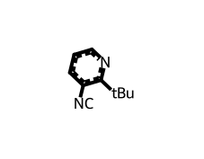 [C-]#[N+]c1cccnc1C(C)(C)C